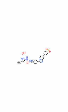 CC(C)(C)c1cc(NC(=O)NCc2ccc(-c3cnc4cc(-c5ccc(S(C)(=O)=O)cc5)ccn34)cc2)n(CCO)n1